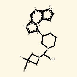 OC(N1CCC[C@H](c2cnc3cnc4[nH]ccc4n23)C1)N1CC(F)(F)C1